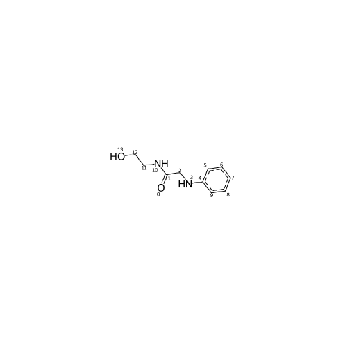 O=C(CNc1ccccc1)NCCO